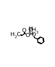 C=CC(=O)O[SiH](C)OCc1ccccc1